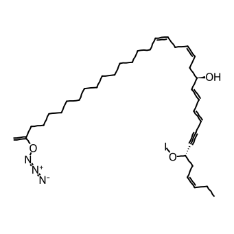 C=C(CCCCCCCCCCCCCC/C=C\C/C=C\C[C@@H](O)/C=C/C=C/C#C[C@H](C/C=C\CC)OI)ON=[N+]=[N-]